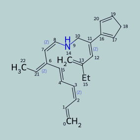 C=C/C=C\C=CC(/C=C\NC/C(=C\C(=C)CC)C1=CCC=C1)=C/C